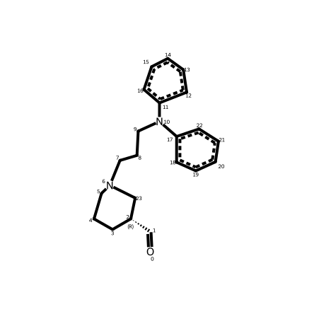 O=C[C@@H]1CCCN(CCCN(c2ccccc2)c2ccccc2)C1